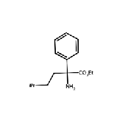 CCOC(=O)C(N)(CCC(C)C)c1ccccc1